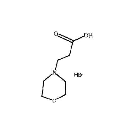 Br.O=C(O)CCN1CCOCC1